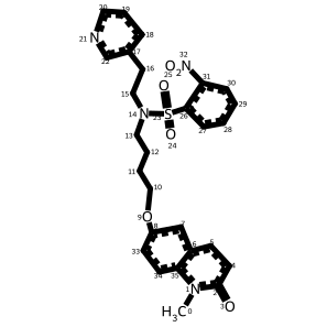 Cn1c(=O)ccc2cc(OCCCCN(CCc3cccnc3)S(=O)(=O)c3ccccc3[N+](=O)[O-])ccc21